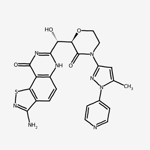 Cc1cc(N2CCO[C@H]([C@@H](O)c3nc(=O)c4c(ccc5c(N)nsc54)[nH]3)C2=O)nn1-c1ccncc1